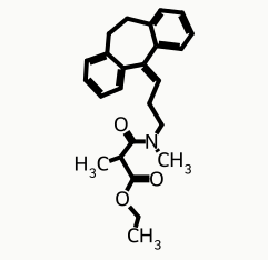 CCOC(=O)C(C)C(=O)N(C)CCC=C1c2ccccc2CCc2ccccc21